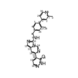 Cc1cc(-c2ccc(CNc3ncc4cc(-c5ccn[nH]c5=O)ncn34)cc2C)ccn1